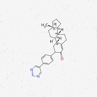 C[C@@]12CCC[C@H]1[C@@H]1CCC3=CC(=O)C(c4ccc(-c5cncnc5)cc4)C[C@@H]3[C@H]1CC2